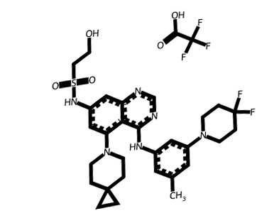 Cc1cc(Nc2ncnc3cc(NS(=O)(=O)CCO)cc(N4CCC5(CC4)CC5)c23)cc(N2CCC(F)(F)CC2)c1.O=C(O)C(F)(F)F